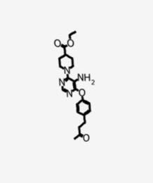 CCOC(=O)C1CCN(c2ncnc(Oc3ccc(CCC(C)=O)cc3)c2N)CC1